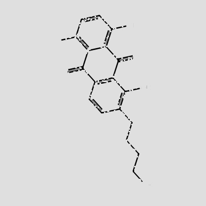 CCCCCc1ccc2c(c1O)C(=O)c1c(O)ccc(O)c1C2=S